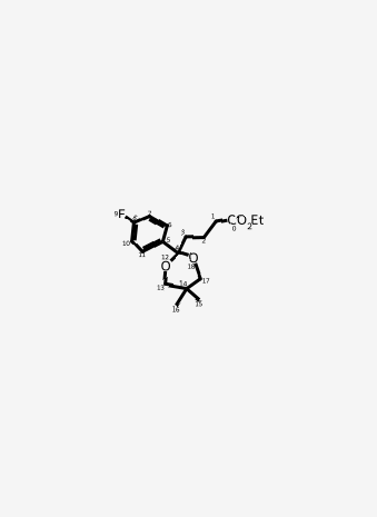 CCOC(=O)CCCC1(c2ccc(F)cc2)OCC(C)(C)CO1